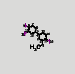 CCc1cc(-c2ccc(I)c(I)c2)ccc1I